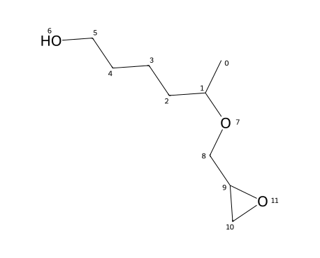 CC(CCCCO)OCC1CO1